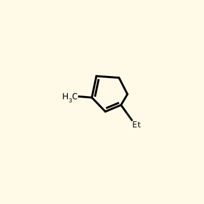 CCC1=CC(C)=CCC1